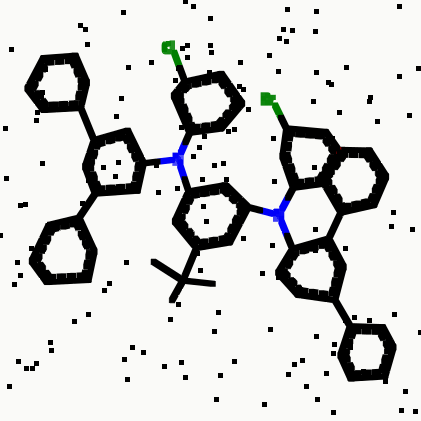 CC(C)(C)c1cc(N(c2cccc(Cl)c2)c2cc(-c3ccccc3)cc(-c3ccccc3)c2)cc(N(c2cccc(Br)c2)c2ccc(-c3ccccc3)cc2-c2ccccc2)c1